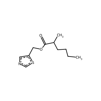 CCCCC(C)C(=O)OCc1cncs1